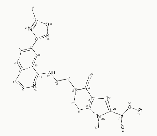 Cc1nc(-c2ccc3ccnc(NCCN4CCc5c(cc(C(=O)OC(C)C)n5C)C4=O)c3c2)no1